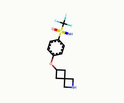 N=S(=O)(c1ccc(OC2CC3(CNC3)C2)cc1)C(F)(F)F